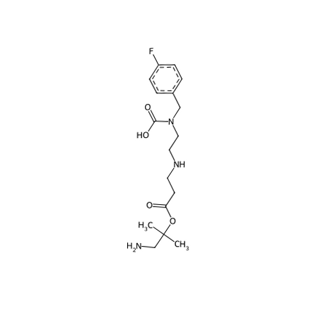 CC(C)(CN)OC(=O)CCNCCN(Cc1ccc(F)cc1)C(=O)O